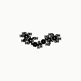 O=C(Nc1ccc(S[C@@H]2O[C@H](CO)[C@@H](O[C@H]3O[C@H](CO)[C@@H](O)[C@H](O)[C@H]3O)[C@H](O)[C@H]2O)cc1)Nc1ccc(S[C@@H]2O[C@H](CO)[C@@H](O[C@H]3O[C@H](CO)[C@@H](O)[C@H](O)[C@H]3O)[C@H](O)[C@H]2O)cc1